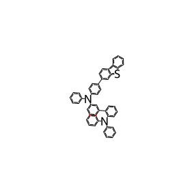 c1ccc(N(c2ccc(-c3ccc4c(c3)sc3ccccc34)cc2)c2cccc(-c3ccccc3N(c3ccccc3)c3ccccc3)c2)cc1